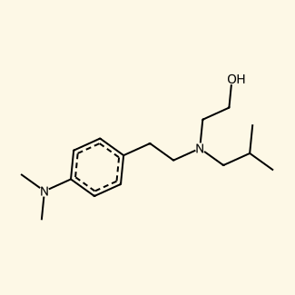 CC(C)CN(CCO)CCc1ccc(N(C)C)cc1